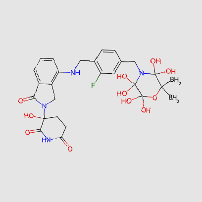 BC1(B)OC(O)(O)C(O)(O)N(Cc2ccc(CNc3cccc4c3CN(C3(O)CCC(=O)NC3=O)C4=O)c(F)c2)C1(O)O